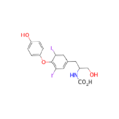 O=C(O)NC(CO)Cc1cc(I)c(Oc2ccc(O)cc2)c(I)c1